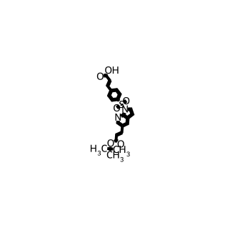 CC(C)(C)OC(=O)/C=C/c1cnc2c(ccn2S(=O)(=O)c2ccc(/C=C/C(=O)O)cc2)c1